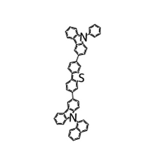 c1ccc(-n2c3ccccc3c3cc(-c4ccc5c(c4)sc4cc(-c6ccc7c(c6)c6ccccc6n7-c6cccc7ccccc67)ccc45)ccc32)cc1